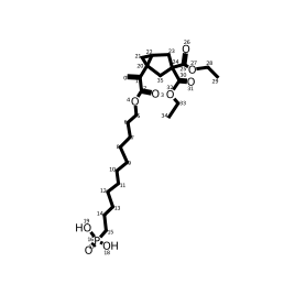 C=C(C(=O)OCCCCCCCCCCCP(=O)(O)O)C12CC1CC(C(=O)OCC)(C(=O)OCC)C2